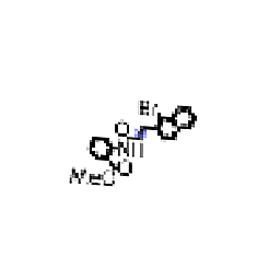 COC(=O)c1ccccc1NC(=O)/C=C/c1ccc2ccccc2c1Br